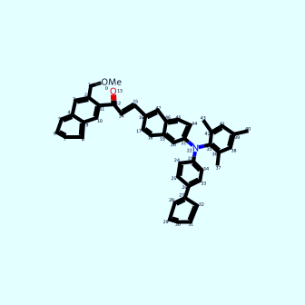 COCc1cc2ccccc2cc1C(=O)C=Cc1ccc2cc(N(c3ccc(-c4ccccc4)cc3)c3c(C)cc(C)cc3C)ccc2c1